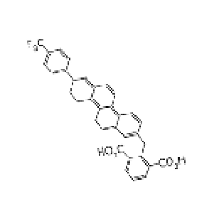 O=C(O)c1cccc(C(=O)O)c1Cc1ccc2c(c1)=CCc1c3c(ccc1=2)=CC(c1ccc(C(F)(F)F)cc1)CC3